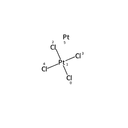 [Cl][Pt]([Cl])([Cl])[Cl].[Pt]